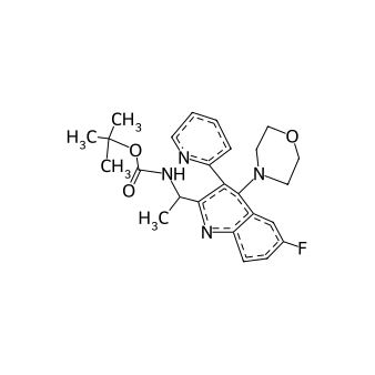 CC(NC(=O)OC(C)(C)C)c1nc2ccc(F)cc2c(N2CCOCC2)c1-c1ccccn1